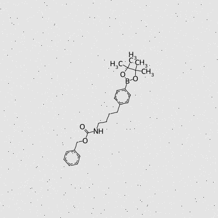 CC1(C)OB(c2ccc(CCCCNC(=O)OCc3ccccc3)cc2)OC1(C)C